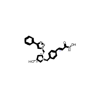 O=C(/C=C/c1ccc(CN2C[C@H](O)C[C@@H]2Cn2cc(-c3ccccc3)nn2)cc1)NO